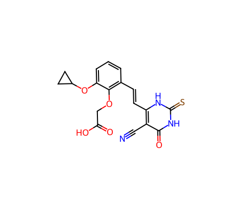 N#Cc1c(C=Cc2cccc(OC3CC3)c2OCC(=O)O)[nH]c(=S)[nH]c1=O